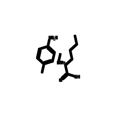 CCCCCC(=O)O.CNC.Cc1ccc(S(=O)(=O)O)cc1